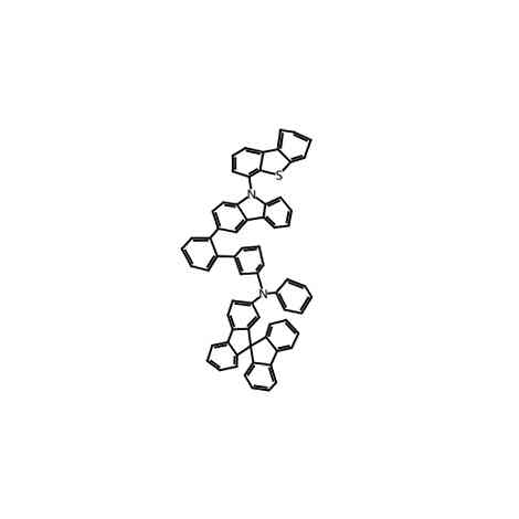 c1ccc(N(c2cccc(-c3ccccc3-c3ccc4c(c3)c3ccccc3n4-c3cccc4c3sc3ccccc34)c2)c2ccc3c(c2)C2(c4ccccc4-c4ccccc42)c2ccccc2-3)cc1